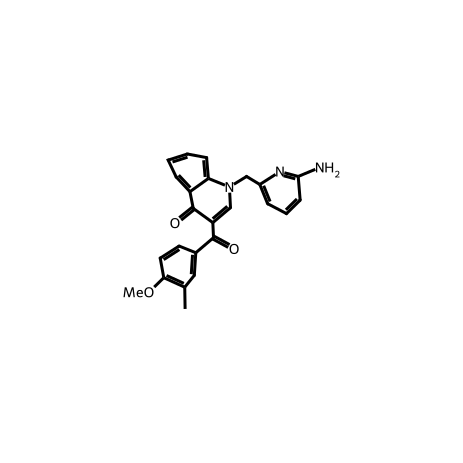 COc1ccc(C(=O)c2cn(Cc3cccc(N)n3)c3ccccc3c2=O)cc1C